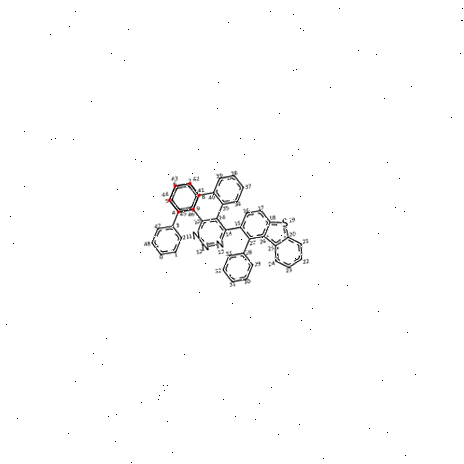 c1ccc(-c2ccccc2-c2nnnc(-c3ccc4sc5ccccc5c4c3-c3ccccc3)c2-c2ccccc2-c2ccccc2)cc1